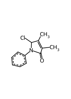 CC1=C(C)C(Cl)N(c2ccccc2)C1=O